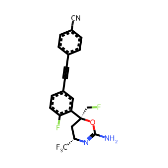 N#Cc1ccc(C#Cc2ccc(F)c([C@]3(CF)C[C@@H](C(F)(F)F)N=C(N)O3)c2)cc1